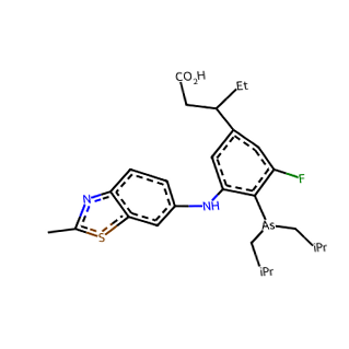 CCC(CC(=O)O)c1cc(F)c([As](CC(C)C)CC(C)C)c(Nc2ccc3nc(C)sc3c2)c1